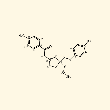 CCOC[C@]1(CCc2ccc(F)cc2)CCN(CC(=O)c2ccc(C)nc2)C1